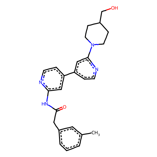 Cc1cccc(CC(=O)Nc2cc(-c3ccnc(N4CCC(CO)CC4)c3)ccn2)c1